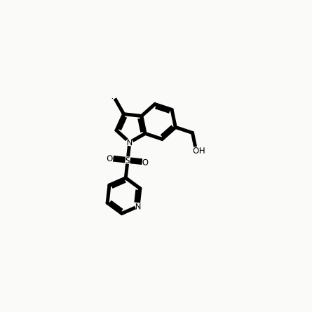 [CH2]c1cn(S(=O)(=O)c2cccnc2)c2cc(CO)ccc12